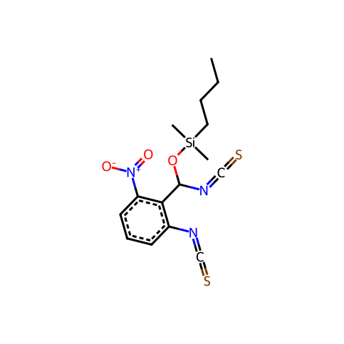 CCCC[Si](C)(C)OC(N=C=S)c1c(N=C=S)cccc1[N+](=O)[O-]